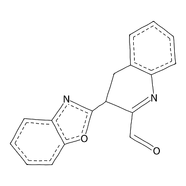 O=CC1=Nc2ccccc2CC1c1nc2ccccc2o1